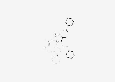 Cn1c2c(c(=O)n(CC(=O)c3ccccc3)c1=O)N(Cc1ccccc1)C(SC1(CN)CCCCC1)N2OC(=O)C(F)(F)F